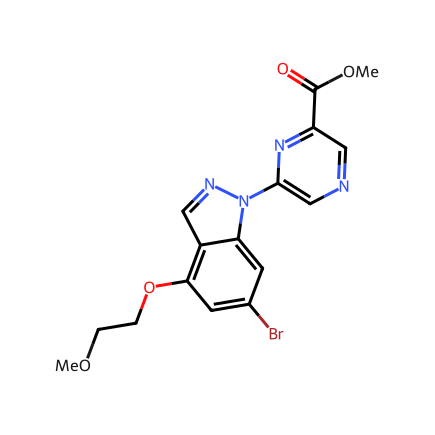 COCCOc1cc(Br)cc2c1cnn2-c1cncc(C(=O)OC)n1